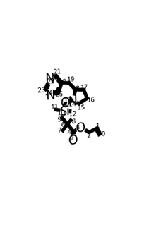 C=CCOC(=O)C(C)(C)C[Si](C)(C)ON1CCCC1Cc1cncnc1